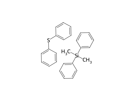 C[Si](C)(c1ccccc1)c1ccccc1.c1ccc(Sc2ccccc2)cc1